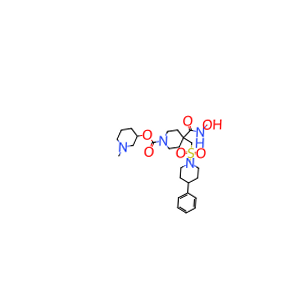 CN1CCCC(OC(=O)N2CCC(CS(=O)(=O)N3CCC(c4ccccc4)CC3)(C(=O)NO)CC2)C1